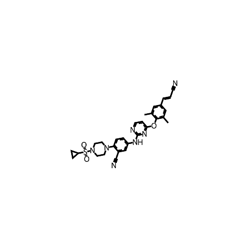 Cc1cc(C=CC#N)cc(C)c1Oc1ccnc(Nc2ccc(N3CCN(S(=O)(=O)C4CC4)CC3)c(C#N)c2)n1